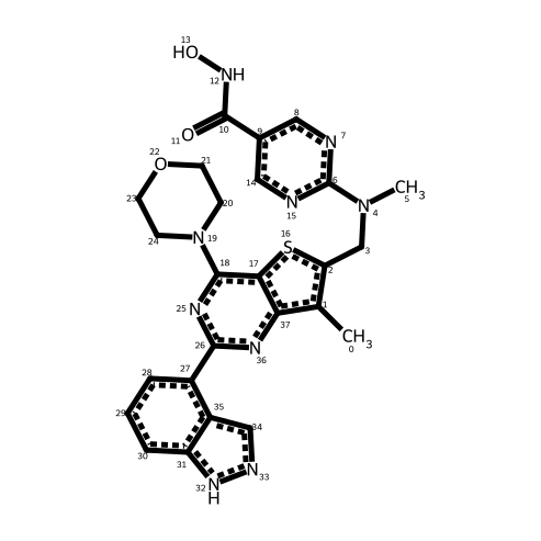 Cc1c(CN(C)c2ncc(C(=O)NO)cn2)sc2c(N3CCOCC3)nc(-c3cccc4[nH]ncc34)nc12